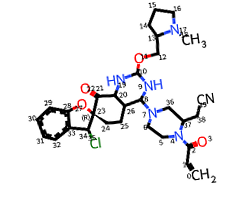 C=CC(=O)N1CCN(C2NC(OCC3CCCN3C)NC3C(=O)[C@@]4(CCC32)Oc2ccccc2C4Cl)CC1CC#N